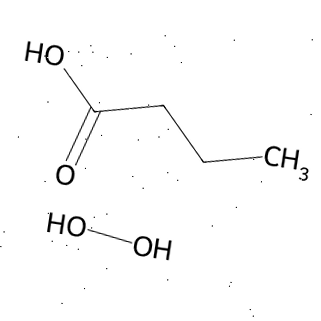 CCCC(=O)O.OO